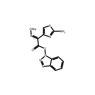 CO/N=C(/C(=O)On1nnc2ccccc21)c1csc(N)n1